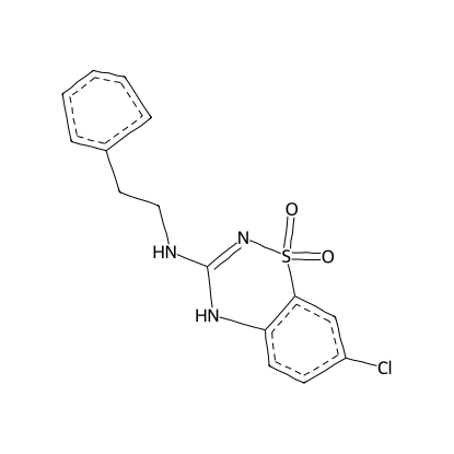 O=S1(=O)N=C(NCCc2ccccc2)Nc2ccc(Cl)cc21